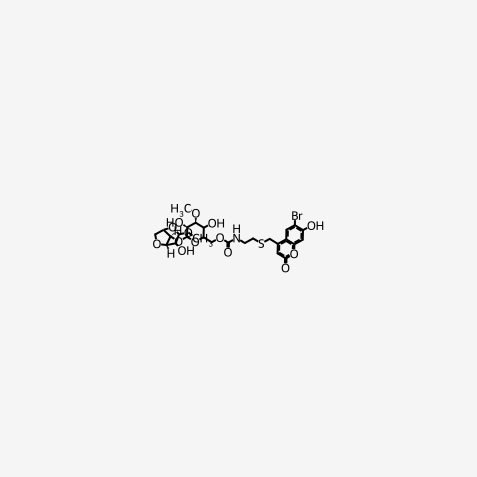 COC1OC2CO[C@@H](C1O)[C@@H]2OC1OC(COC(=O)NCCSCc2cc(=O)oc3cc(O)c(Br)cc23)C(O)[C@H](OC)[C@@H]1O